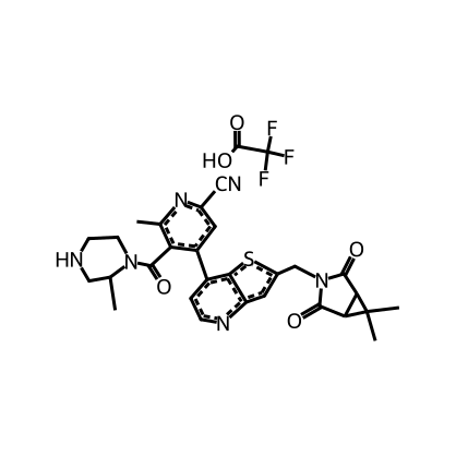 Cc1nc(C#N)cc(-c2ccnc3cc(CN4C(=O)C5C(C4=O)C5(C)C)sc23)c1C(=O)N1CCNCC1C.O=C(O)C(F)(F)F